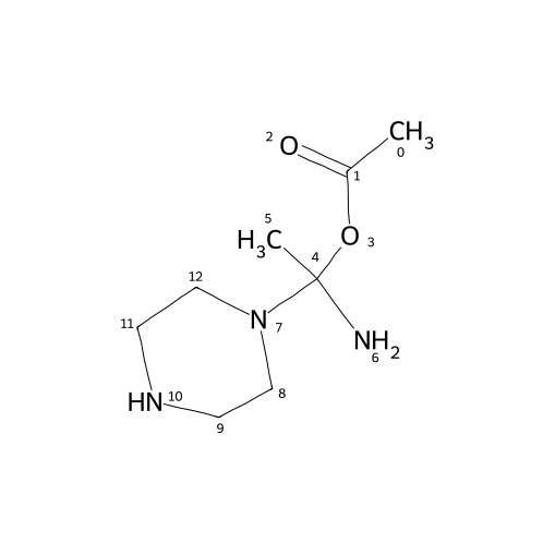 CC(=O)OC(C)(N)N1CCNCC1